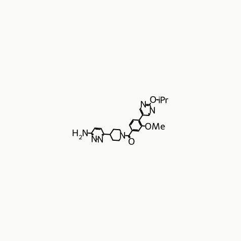 COc1cc(C(=O)N2CCC(c3ccc(N)nn3)CC2)ccc1-c1cnc(OC(C)C)nc1